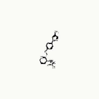 CCS(=O)(=O)N[C@H]1CCCO[C@@H]1COc1ccc(-n2cc(C)cn2)cc1